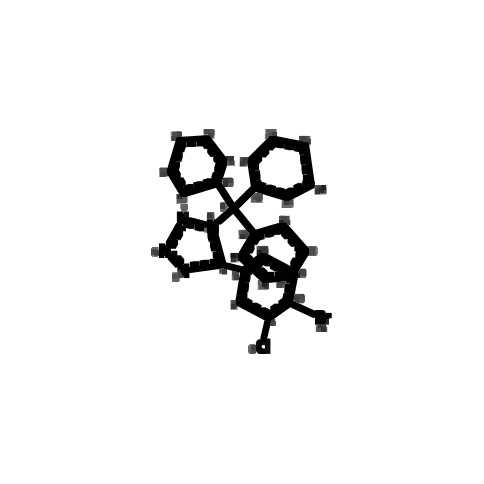 Clc1cc(-c2nnnn2C(c2ccccc2)(c2ccccc2)c2ccccc2)ccc1Br